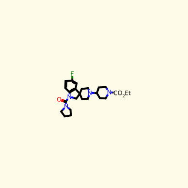 CCOC(=O)N1CCC(N2CCC3(CC2)CN(C(=O)N2CCCC2)c2ccc(F)cc23)CC1